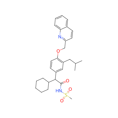 CC(C)Cc1cc(C(C(=O)NS(C)(=O)=O)C2CCCCC2)ccc1OCc1ccc2ccccc2n1